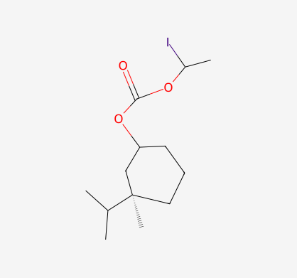 CC(I)OC(=O)OC1CCC[C@@](C)(C(C)C)C1